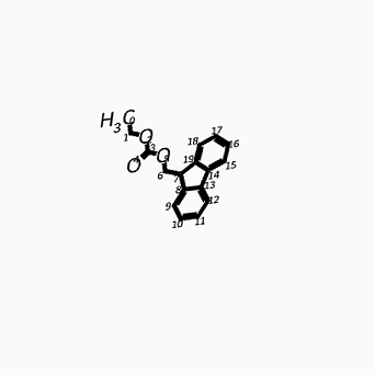 CCOC(=O)OCC1c2ccccc2-c2ccccc21